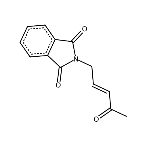 CC(=O)C=CCN1C(=O)c2ccccc2C1=O